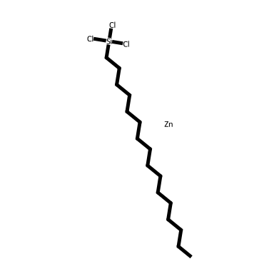 CCCCCCCCCCCCCCCC[Si](Cl)(Cl)Cl.[Zn]